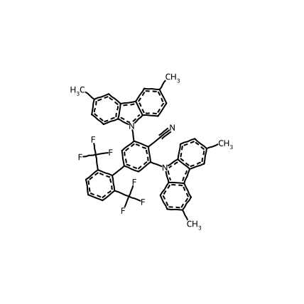 Cc1ccc2c(c1)c1cc(C)ccc1n2-c1cc(-c2c(C(F)(F)F)cccc2C(F)(F)F)cc(-n2c3ccc(C)cc3c3cc(C)ccc32)c1C#N